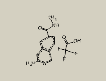 CNC(=O)c1ccc2cnc(N)cc2c1.O=C(O)C(F)(F)F